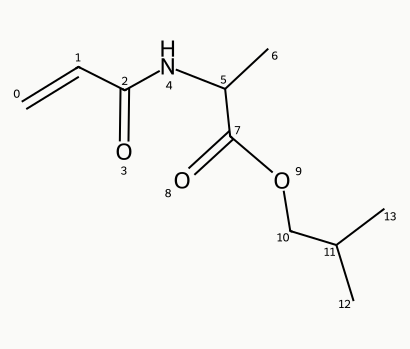 C=CC(=O)NC(C)C(=O)OCC(C)C